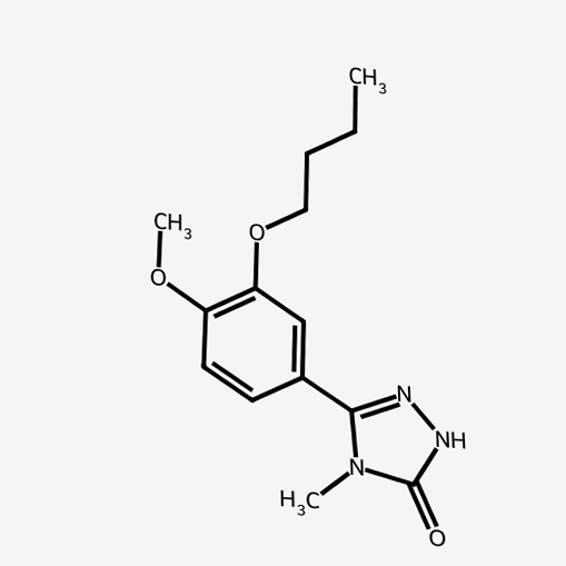 CCCCOc1cc(-c2n[nH]c(=O)n2C)ccc1OC